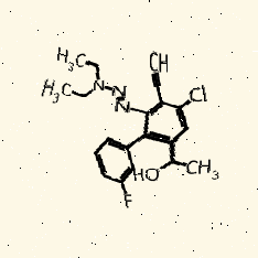 C#Cc1c(Cl)cc(C(C)O)c(-c2cccc(F)c2)c1N=NN(CC)CC